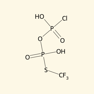 O=P(O)(Cl)OP(=O)(O)SC(F)(F)F